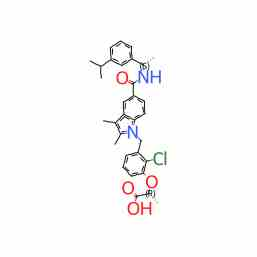 Cc1c(C)n(Cc2cccc(O[C@H](C)C(=O)O)c2Cl)c2ccc(C(=O)N[C@@H](C)c3cccc(C(C)C)c3)cc12